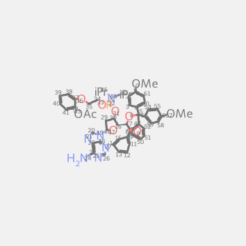 COc1ccc(C(OC(C(=O)c2ccccc2)[C@H]2O[C@@H](n3cnc4c(N)ncnc43)C[C@@H]2OP(OCCOc2ccccc2OC(C)=O)N(C(C)C)C(C)C)(c2ccccc2)c2ccc(OC)cc2)cc1